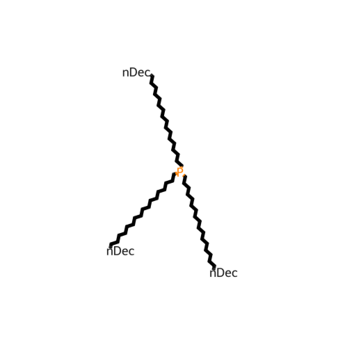 CCCCCCCCCCCCCCCCCCCCCCCCCCCP(CCCCCCCCCCCCCCCCCCCCCCCCCCC)CCCCCCCCCCCCCCCCCCCCCCCCCCC